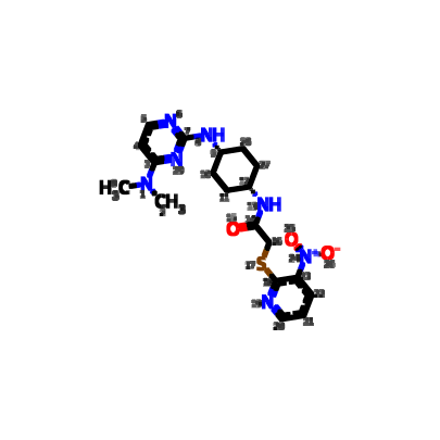 CN(C)c1ccnc(N[C@H]2CC[C@@H](NC(=O)CSc3ncccc3[N+](=O)[O-])CC2)n1